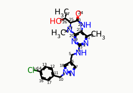 Cc1nc(NCc2cnn(Cc3ccc(Cl)cc3)c2)nc2c1NC(=O)[C@H]([C@H](C)O)N2C